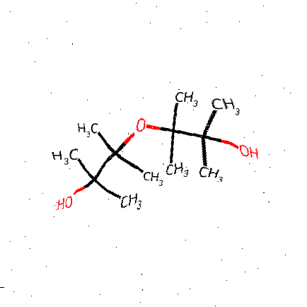 CC(C)(O)C(C)(C)OC(C)(C)C(C)(C)O